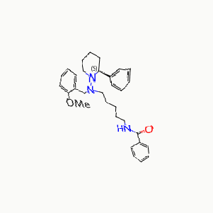 COc1ccccc1CN(CCCCCNC(=O)c1ccccc1)N1CCCC[C@H]1c1ccccc1